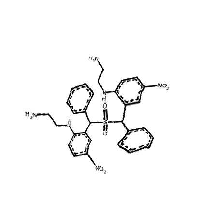 NCCNc1ccc([N+](=O)[O-])cc1C(c1ccccc1)S(=O)(=O)C(c1ccccc1)c1cc([N+](=O)[O-])ccc1NCCN